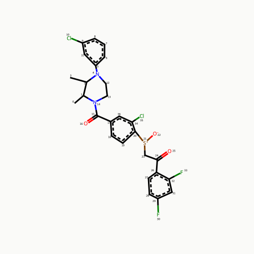 CC1C(C)N(c2cccc(Cl)c2)CCN1C(=O)c1ccc([S+]([O-])CC(=O)c2ccc(F)cc2F)c(Cl)c1